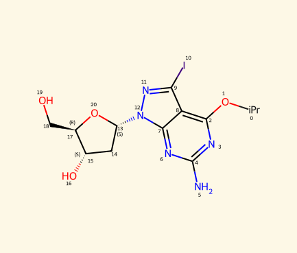 CC(C)Oc1nc(N)nc2c1c(I)nn2[C@@H]1C[C@H](O)[C@@H](CO)O1